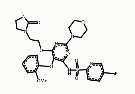 COc1ccccc1Oc1c(NS(=O)(=O)c2ccc(C(C)C)cn2)nc(N2CCOCC2)nc1OCCN1CCNC1=O